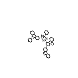 c1ccc(-c2nc(-c3ccc4c(c3)c3ccccc3n4-c3ccccc3)nc(-c3cc(-c4ccc5sc6ccccc6c5c4)cc4oc5ccccc5c34)n2)cc1